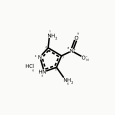 Cl.Nc1n[nH]c(N)c1[N+](=O)[O-]